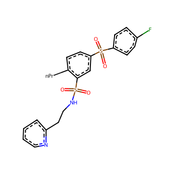 CCCc1ccc(S(=O)(=O)c2ccc(F)cc2)cc1S(=O)(=O)NCCc1ccccn1